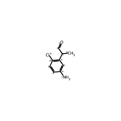 CC(C=O)c1cc(N)ccc1Cl